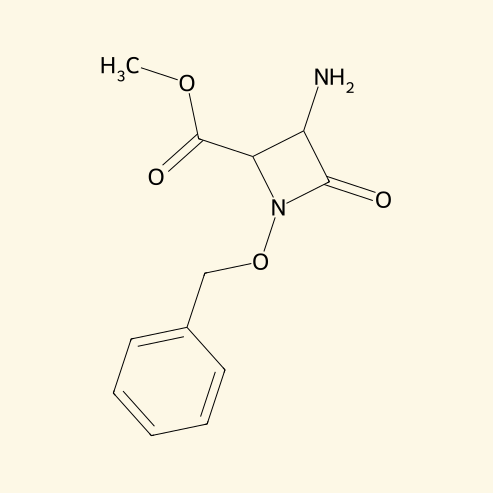 COC(=O)C1C(N)C(=O)N1OCc1ccccc1